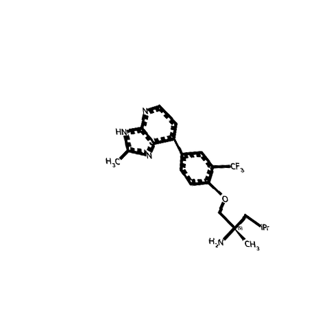 Cc1nc2c(-c3ccc(OC[C@@](C)(N)CC(C)C)c(C(F)(F)F)c3)ccnc2[nH]1